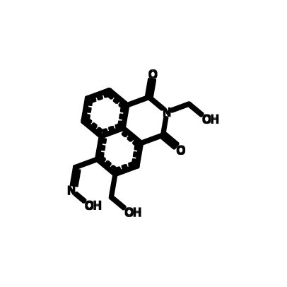 O=C1c2cccc3c(/C=N\O)c(CO)cc(c23)C(=O)N1CO